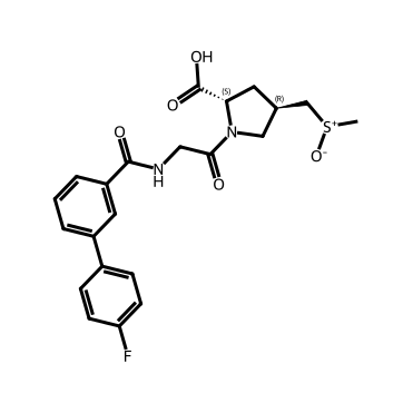 C[S+]([O-])C[C@@H]1C[C@@H](C(=O)O)N(C(=O)CNC(=O)c2cccc(-c3ccc(F)cc3)c2)C1